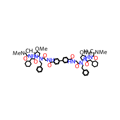 CN[C@@H](C)C(=O)N[C@H](C(=O)N1C[C@@H](OC)CC1N(CCc1ccccc1)C(=O)CNC(=O)c1ccc(-c2ccc(C(=O)NCC(=O)N(CCc3ccccc3)C3C[C@H](OC)CN3C(=O)[C@@H](NC(=O)[C@H](C)NC)C3CCCCC3)cc2)cc1)C1CCCCC1